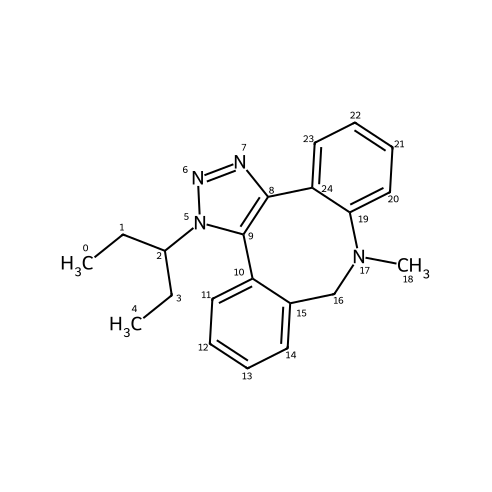 CCC(CC)n1nnc2c1-c1ccccc1CN(C)c1ccccc1-2